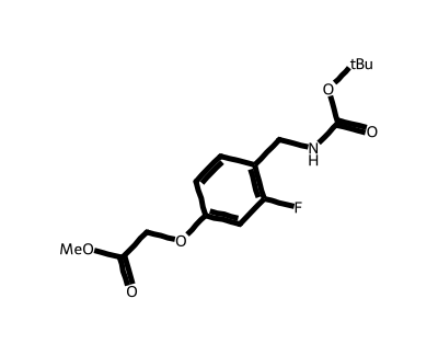 COC(=O)COc1ccc(CNC(=O)OC(C)(C)C)c(F)c1